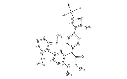 COC(=O)C(c1ccc(-c2nc(C(F)(F)F)cn2C)cc1)c1nc(-c2c(OC)ncnc2C2CC2)ncc1OC